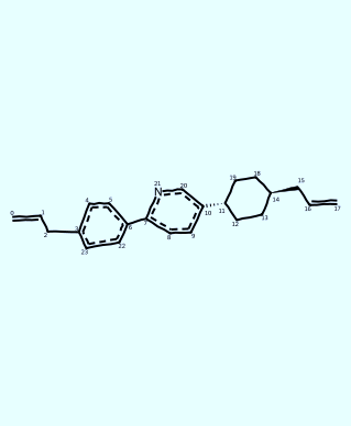 C=CCc1ccc(-c2ccc([C@H]3CC[C@H](CC=C)CC3)cn2)cc1